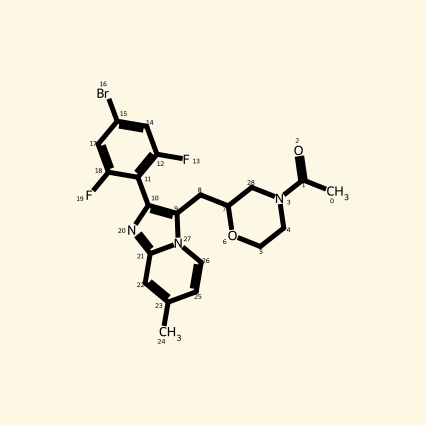 CC(=O)N1CCOC(Cc2c(-c3c(F)cc(Br)cc3F)nc3cc(C)ccn23)C1